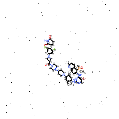 CCc1ccc2c(P(C)(C)=O)c(Nc3nc(Nc4cc(CC)c(N5CCC(N6CCN(C(=O)C7CN(c8cc(F)c([C@H]9CCC(=O)NC9=O)c(F)c8)C7)CC6)CC5)cc4OC)ncc3Br)ccc2n1